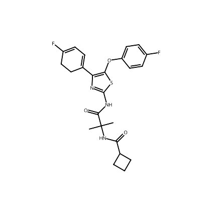 CC(C)(NC(=O)C1CCC1)C(=O)Nc1nc(C2=CC=C(F)CC2)c(Oc2ccc(F)cc2)s1